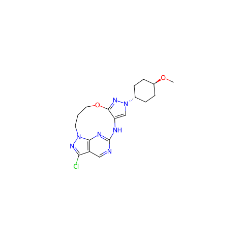 CO[C@H]1CC[C@H](n2cc3c(n2)OCCCn2nc(Cl)c4cnc(nc42)N3)CC1